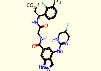 O=C(O)C[C@H](NC(=O)CNC(=O)c1cc(NC2=NCC(F)CN2)c2cn[nH]c2c1)c1cccc(C(F)(F)F)c1F